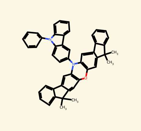 CC1(C)c2ccccc2-c2cc3c(cc21)Oc1cc2c(cc1N3c1ccc3c(c1)c1ccccc1n3-c1ccccc1)-c1ccccc1C2(C)C